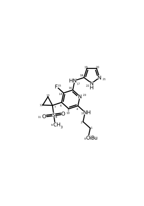 CC(C)COCCNc1cc(C2(S(C)(=O)=O)CC2)c(F)c(Nc2ccn[nH]2)n1